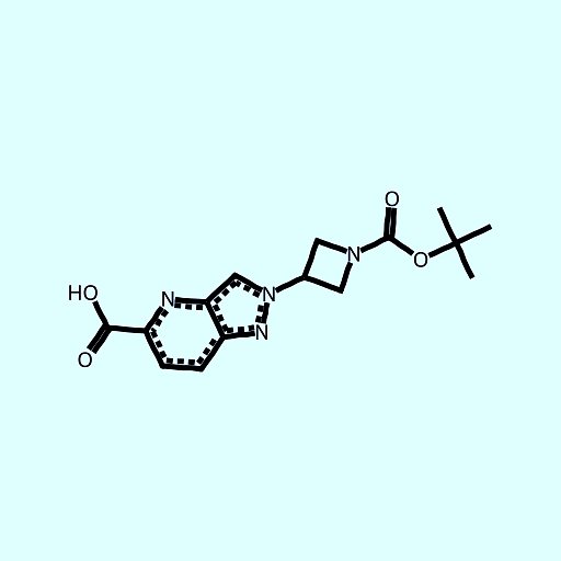 CC(C)(C)OC(=O)N1CC(n2cc3nc(C(=O)O)ccc3n2)C1